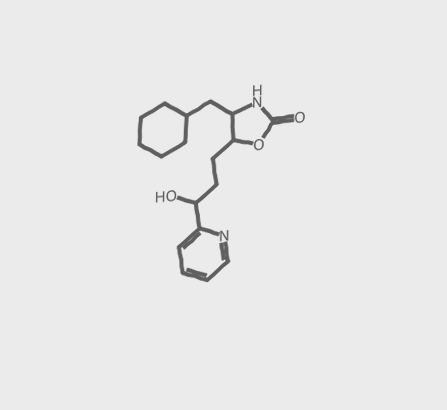 O=C1NC(CC2CCCCC2)C(CCC(O)c2ccccn2)O1